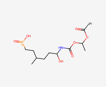 CC(CCC(O)NC(=O)OC(C)OC(=O)C(C)C)CC[PH](=O)O